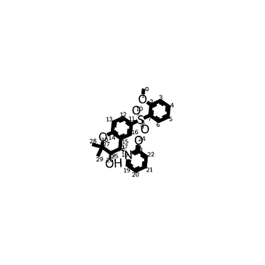 COc1ccccc1S(=O)(=O)c1ccc2c(c1)[C@H](n1ccccc1=O)[C@@H](O)C(C)(C)O2